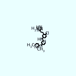 Cc1ccc(Oc2ccnc(Nc3ccc(Cl)c(CC/C(N=N)=N/N)c3)c2)c(C)n1